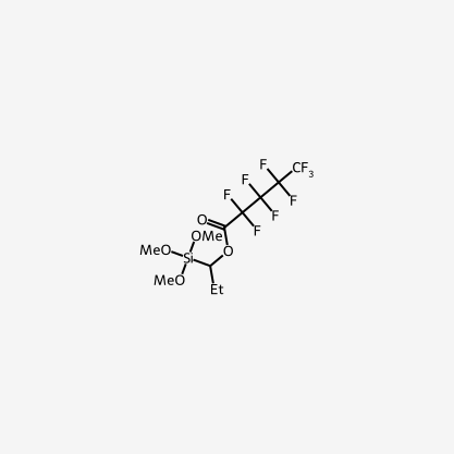 CCC(OC(=O)C(F)(F)C(F)(F)C(F)(F)C(F)(F)F)[Si](OC)(OC)OC